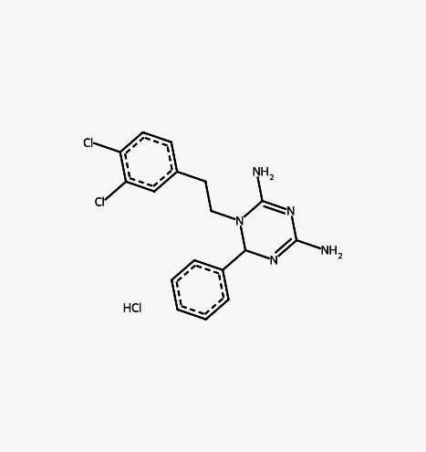 Cl.NC1=NC(c2ccccc2)N(CCc2ccc(Cl)c(Cl)c2)C(N)=N1